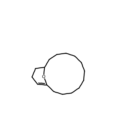 C1=C2CCCCCCCCCCCC(CC1)O2